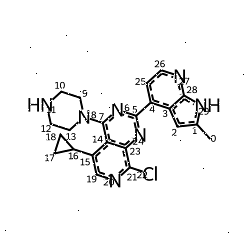 Cc1cc2c(-c3nc(N4CCNCC4)c4c(C5CC5)cnc(Cl)c4n3)ccnc2[nH]1